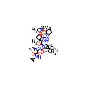 CCC[C@H](NC(=O)[C@@H]1[C@@H]2[C@H](CN1C(=O)[C@@H](NC(=O)NC1(CS(=O)(=O)N(C)OC)CCCCC1)C1(C)CCCCC1)C2(C)C)C(=O)C(=O)NC1CC1